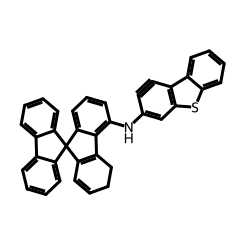 c1c(Nc2cccc3c2C2=C(C=CCC2)C32c3ccccc3-c3ccccc32)cc2sc3ccccc3c2c#1